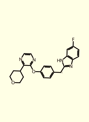 Fc1ccc2nc([C]c3ccc(Oc4nccnc4C4CCOCC4)cc3)[nH]c2c1